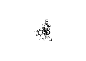 Cc1ccc2c(c1)CCC1C(C)CC21S(=O)(=O)c1ccc(F)cc1